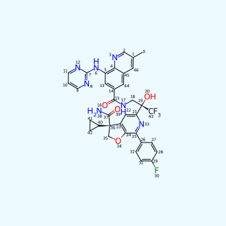 Cc1cnc2c(Nc3ncccn3)cc(C(=O)NC[C@](O)(c3cc4c(c(-c5ccc(F)cc5)n3)OC[C@@]4(C(N)=O)C3CC3)C(F)(F)F)cc2c1